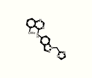 COc1cccc2ncnc(Nc3ccc4c(cnn4Cc4nccs4)c3)c12